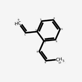 [CH]=Cc1ccccc1/C=C\C